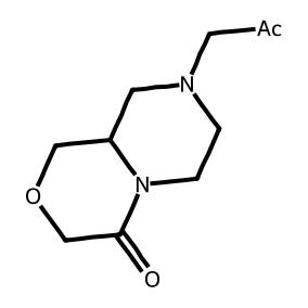 CC(=O)CN1CCN2C(=O)COCC2C1